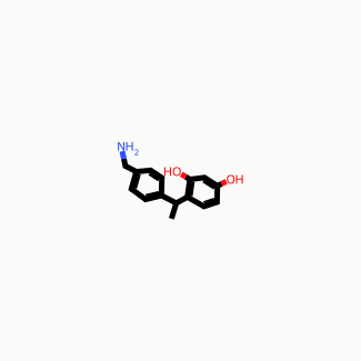 CC(c1ccc(CN)cc1)c1ccc(O)cc1O